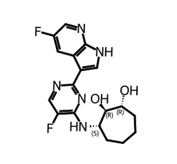 O[C@H]1[C@H](O)CCCC[C@@H]1Nc1nc(-c2c[nH]c3ncc(F)cc23)ncc1F